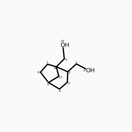 OCC1CCC2CCC1(CO)C2